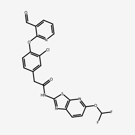 O=Cc1cccnc1Oc1ccc(CC(=O)Nc2nc3ccc(OC(F)F)nc3s2)cc1Cl